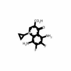 Nc1c(F)c(F)c(N)c2c1c(=O)c(C(=O)O)cn2C1CC1